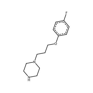 Fc1ccc(OCCCN2CCNCC2)cc1